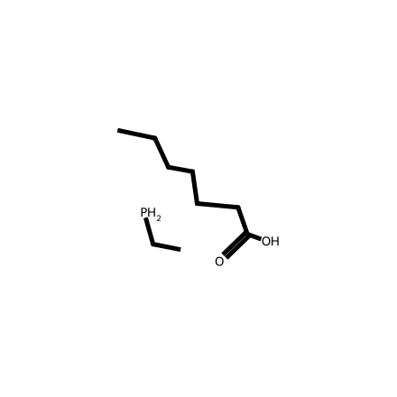 CCCCCCC(=O)O.CCP